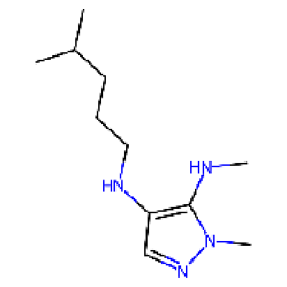 CNc1c(NCCCC(C)C)cnn1C